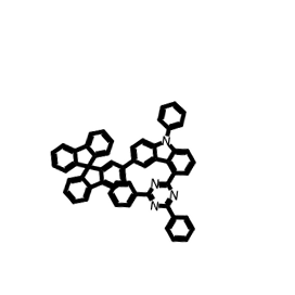 c1ccc(-c2nc(-c3ccccc3)nc(-c3cccc4c3c3cc(-c5ccc6c(c5)C5(c7ccccc7-c7ccccc75)c5ccccc5-6)ccc3n4-c3ccccc3)n2)cc1